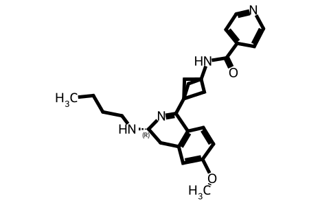 CCCCN[C@H]1Cc2cc(OC)ccc2C(C23CC(NC(=O)c4ccncc4)(C2)C3)=N1